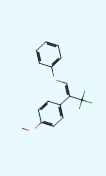 COc1ccc(/C(=C\Sc2ccccc2)C(F)(F)F)cc1